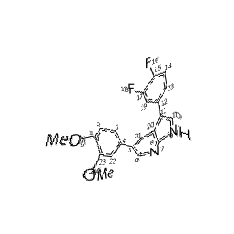 COc1ccc(-c2cnc3[nH]cc(-c4ccc(F)c(F)c4)c3c2)cc1OC